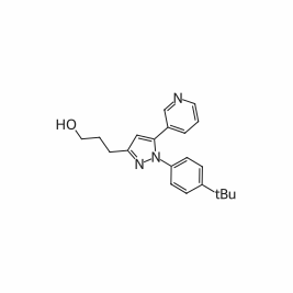 CC(C)(C)c1ccc(-n2nc(CCCO)cc2-c2cccnc2)cc1